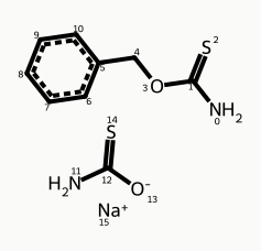 NC(=S)OCc1ccccc1.NC([O-])=S.[Na+]